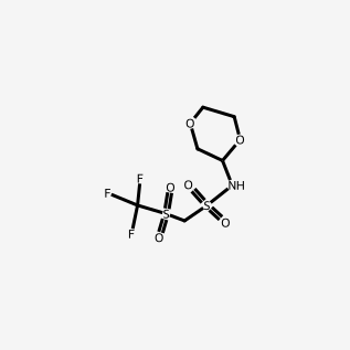 O=S(=O)(CS(=O)(=O)C(F)(F)F)NC1COCCO1